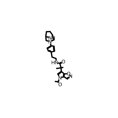 CC(=O)n1cc(C(C)(C)C(=O)NCCc2ccc(N3CC4CCC(C3)N4)cc2)c2oncc21